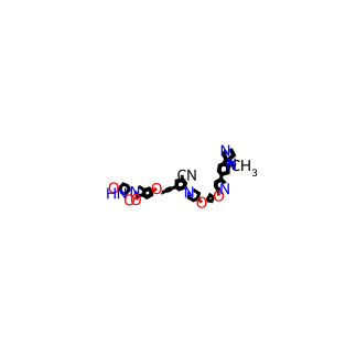 Cn1c2ccncc2c2ccc(-c3ccc(OC4CC(OC5CCN(c6cc(C#N)cc(C#CCOc7ccc8c(c7)CN(C7CCC(=O)NC7=O)C8=O)c6)CC5)C4)nc3)cc21